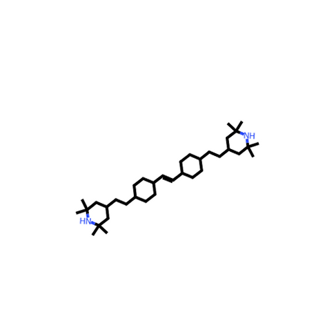 CC1(C)CC(CCC2CCC(/C=C/C3CCC(CCC4CC(C)(C)NC(C)(C)C4)CC3)CC2)CC(C)(C)N1